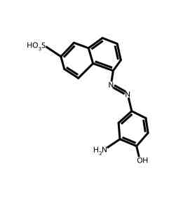 Nc1cc(N=Nc2cccc3cc(S(=O)(=O)O)ccc23)ccc1O